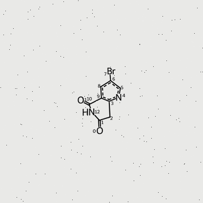 O=C1Cc2ncc(Br)cc2C(=O)N1